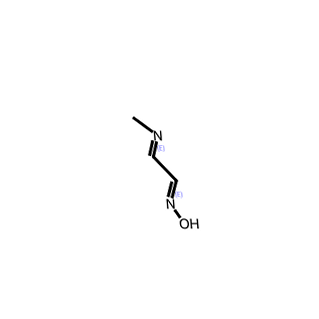 C/N=C/C=N/O